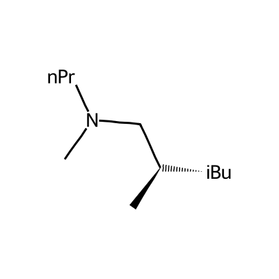 CCCN(C)C[C@H](C)[C@@H](C)CC